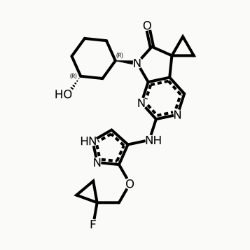 O=C1N([C@@H]2CCC[C@@H](O)C2)c2nc(Nc3c[nH]nc3OCC3(F)CC3)ncc2C12CC2